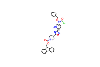 O=C(OCC1c2ccccc2-c2ccccc21)N1CCC(c2nc([C@@H]3CC[C@@H](N(OCc4ccccc4)C(=O)Cl)CN3)no2)CC1